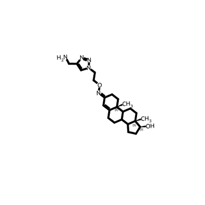 C[C@]12CCC(=NOCCn3cc(CN)nn3)C=C1CCC1C2CC[C@@]2(C)C1CC[C@@H]2O